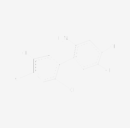 Nc1cc(Cl)c(Cl)cc1-c1cc(Cl)c(Cl)cc1Cl